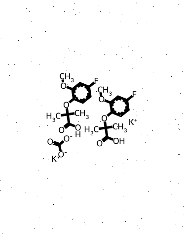 COc1cc(F)ccc1OC(C)(C)C(=O)O.COc1cc(F)ccc1OC(C)(C)C(=O)O.O=C([O-])[O-].[K+].[K+]